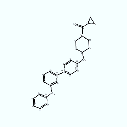 O=C(C1CC1)N1CCC(Oc2ccc(-c3cccc(Oc4ccccc4)c3)cc2)CC1